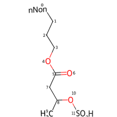 CCCCCCCCCCCCOC(=O)CC(C)OS(=O)(=O)O